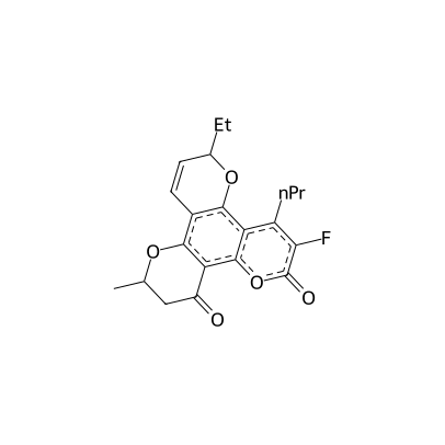 CCCc1c(F)c(=O)oc2c3c(c4c(c12)OC(CC)C=C4)OC(C)CC3=O